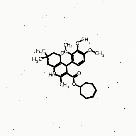 COc1ccc(C2C(C(=O)OC3CCCCCC3)=C(C)NC3=C2C(=O)CC(C)(C)C3)c(OC)c1OC